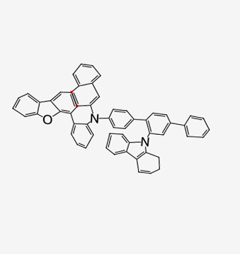 C1=Cc2c(n(-c3cc(-c4ccccc4)ccc3-c3ccc(N(c4ccc5ccccc5c4)c4ccccc4-c4cccc5c4oc4ccccc45)cc3)c3ccccc23)CC1